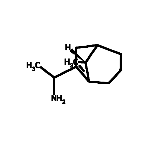 CC(N)C1=C2CCCC(C1)[C@@H]2C